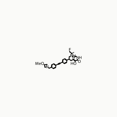 COC1CN(Cc2ccc(C#Cc3ccc(C(CN[C@H](C)CF)Cc4nc[nH]c(=O)c4O)cc3)cc2)C1